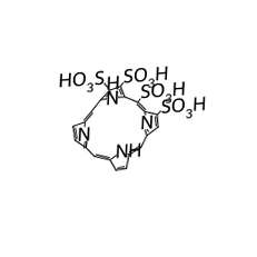 O=S(=O)(O)C1=Cc2cc3ccc(cc4nc(cc5[nH]c(c(S(=O)(=O)O)c1n2)c(S(=O)(=O)O)c5S(=O)(=O)O)C=C4)[nH]3